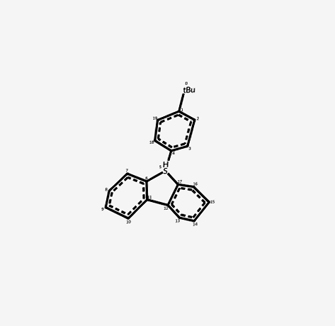 CC(C)(C)c1ccc([SH]2c3ccccc3-c3ccccc32)cc1